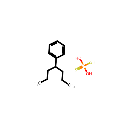 CCCC(CCC)c1ccccc1.OP(O)(=S)S